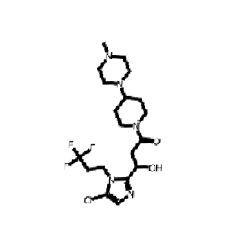 CN1CCN(C2CCN(C(=O)CC(O)c3ncc(Cl)n3CCC(F)(F)F)CC2)CC1